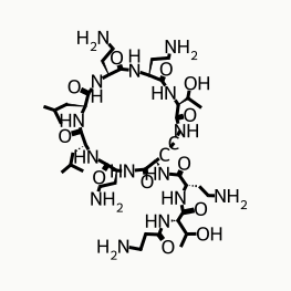 CC(C)C[C@@H]1NC(=O)[C@@H](CC(C)C)NC(=O)[C@H](CCN)NC(=O)[C@@H](NC(=O)[C@H](CCN)NC(=O)[C@@H](NC(=O)CCN)C(C)O)CCNC(=O)[C@H](C(C)O)NC(=O)[C@H](CCN)NC(=O)[C@H](CCN)NC1=O